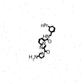 CCCC1CC=C=C(CNC(=O)c2cccc3nc(C(=O)N4CCC(N)C4)cn23)C1